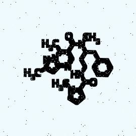 Cc1cc2ncc(C(=O)N(C)C(CCNC(=O)c3cccn3C)Cc3ccccc3)c(C)n2n1